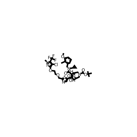 COc1cccc(CN(C(=O)C2=C(c3cnc(COCCOc4nn(C)c(C(F)(F)F)c4Cl)s3)CC3CN(C(=O)OC(C)(C)C)C[C@H]2N3C(=O)O)C2CC2)c1C